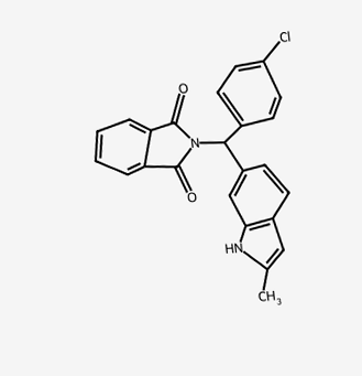 Cc1cc2ccc(C(c3ccc(Cl)cc3)N3C(=O)c4ccccc4C3=O)cc2[nH]1